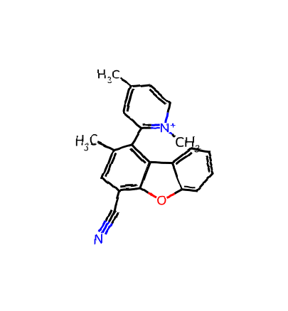 Cc1cc[n+](C)c(-c2c(C)cc(C#N)c3oc4ccccc4c23)c1